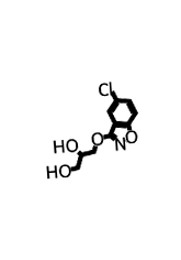 OCC(O)COc1noc2ccc(Cl)cc12